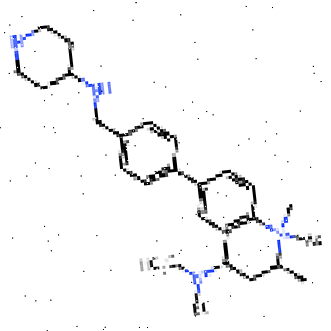 CCN(C(=O)O)[C@@H]1C[C@H](C)[N+](C)(C(C)=O)c2ccc(-c3ccc(CNC4CCNCC4)cc3)cc21